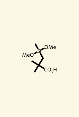 CO[Si](C)(CC(C)(C)C(=O)O)OC